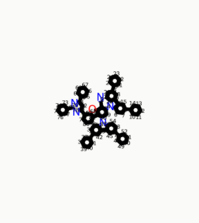 N#Cc1c(-n2c3ccc(-c4ccccc4)cc3c3cc(-c4ccccc4)ccc32)cc(-n2c3ccc(-c4ccccc4)cc3c3cc(-c4ccccc4)ccc32)c2c1oc1c(-c3cc(-c4ccccc4)nc(-c4ccccc4)n3)cccc12